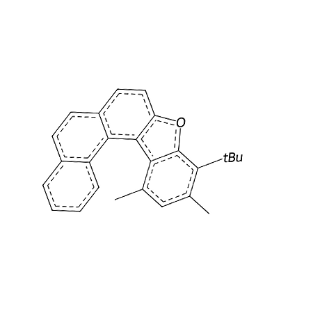 Cc1cc(C)c2c(oc3ccc4ccc5ccccc5c4c32)c1C(C)(C)C